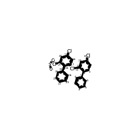 Clc1ccc(-c2ccccc2)c(Cl)c1.Clc1ccc(-c2ccccc2)c(Cl)c1.O=S=O